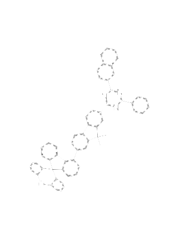 CC1(C)c2cc(-c3nc(-c4ccccc4)nc(-c4ccc5ccccc5c4)n3)ccc2-c2ccc(-c3cccc4c3-c3ccccc3C43c4ccccc4Oc4ccccc43)cc21